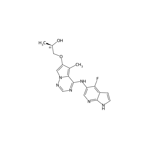 Cc1c(OC[C@@H](C)O)cn2ncnc(Nc3cnc4[nH]ccc4c3F)c12